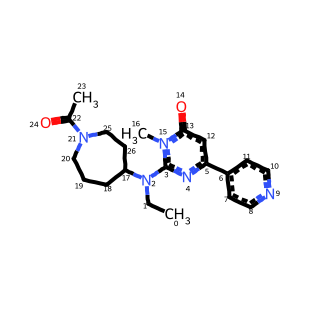 CCN(c1nc(-c2ccncc2)cc(=O)n1C)C1CCCN(C(C)=O)CC1